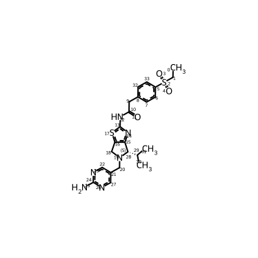 CCS(=O)(=O)c1ccc(CC(=O)Nc2nc3c(s2)CN(Cc2cnc(N)nc2)[C@H]3C(C)C)cc1